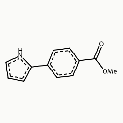 COC(=O)c1ccc(-c2ccc[nH]2)cc1